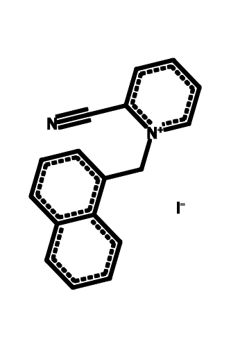 N#Cc1cccc[n+]1Cc1cccc2ccccc12.[I-]